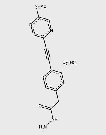 CC(=O)Nc1cnc(C#Cc2ccc(CC(=O)NN)cc2)cn1.Cl.Cl